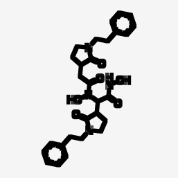 O=C(NO)C(C1CCN(CCc2ccccc2)C1=O)N(O)C(=O)CC1CCN(CCc2ccccc2)C1=O